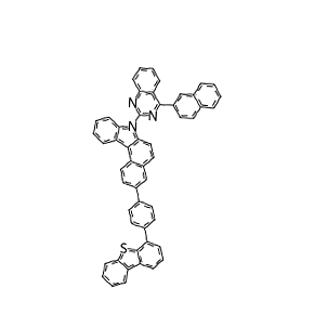 c1ccc2cc(-c3nc(-n4c5ccccc5c5c6ccc(-c7ccc(-c8cccc9c8sc8ccccc89)cc7)cc6ccc54)nc4ccccc34)ccc2c1